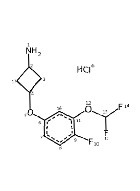 Cl.NC1CC(Oc2ccc(F)c(OC(F)F)c2)C1